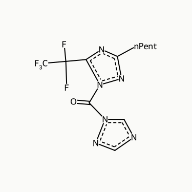 CCCCCc1nc(C(F)(F)C(F)(F)F)n(C(=O)n2cncn2)n1